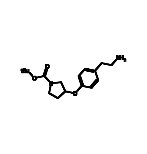 CC(C)(C)OC(=O)N1CCC(Oc2ccc(CCN)cc2)C1